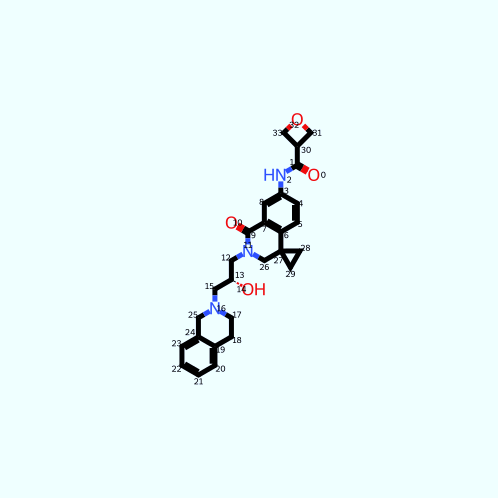 O=C(Nc1ccc2c(c1)C(=O)N(C[C@H](O)CN1CCc3ccccc3C1)CC21CC1)C1COC1